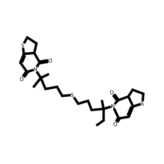 CCC(C)(CCCSCCCC(C)(C)N1C(=O)C=C2SCCC2C1=O)N1C(=O)C=C2SCCC2C1=O